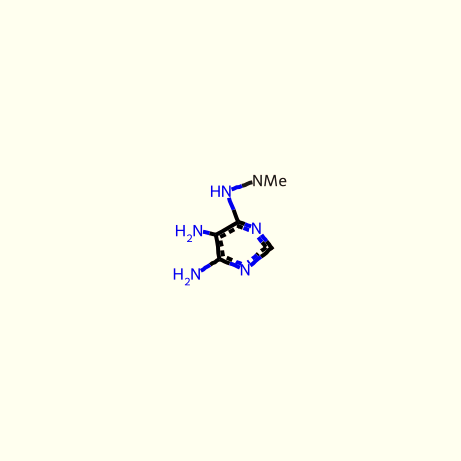 CNNc1ncnc(N)c1N